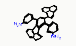 Nc1cccc(-c2cc(C3=C4C=CC=C5C=CC=C(C=C3)C54)c(-c3cccc(N)c3)c3c2-c2cccc4cccc-3c24)c1